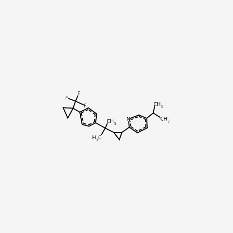 CC(C)c1ccc(C2CC2C(C)(C)c2ccc(C3(C(F)(F)F)CC3)cc2)nc1